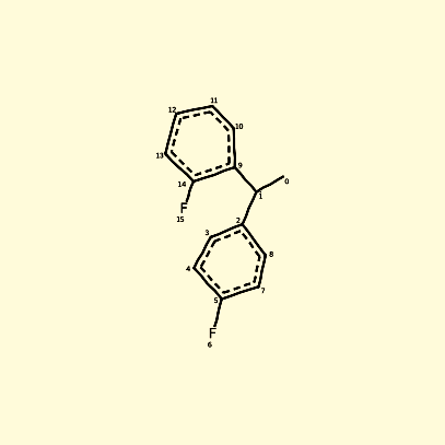 C[C](c1ccc(F)cc1)c1ccccc1F